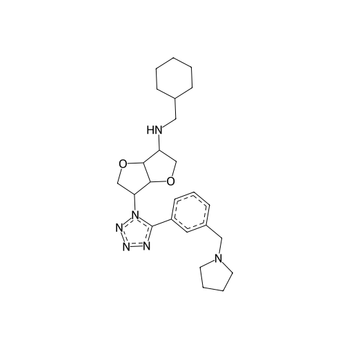 c1cc(CN2CCCC2)cc(-c2nnnn2C2COC3C(NCC4CCCCC4)COC32)c1